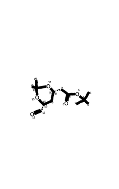 CC(C)(C)OC(=O)C[C@@H]1C[C@H](C=O)OC(C)(C)O1